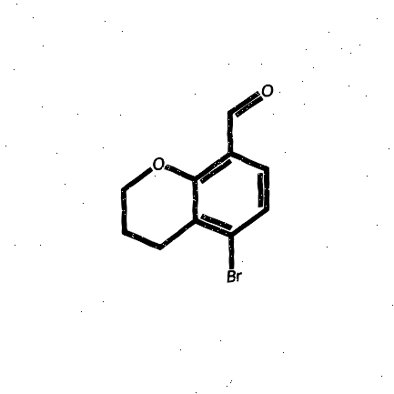 O=Cc1ccc(Br)c2c1OCCC2